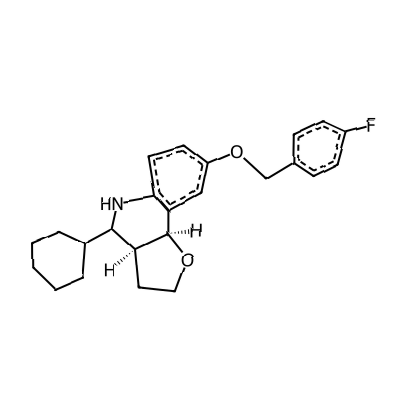 Fc1ccc(COc2ccc3c(c2)[C@H]2OCC[C@H]2C(C2CCCCC2)N3)cc1